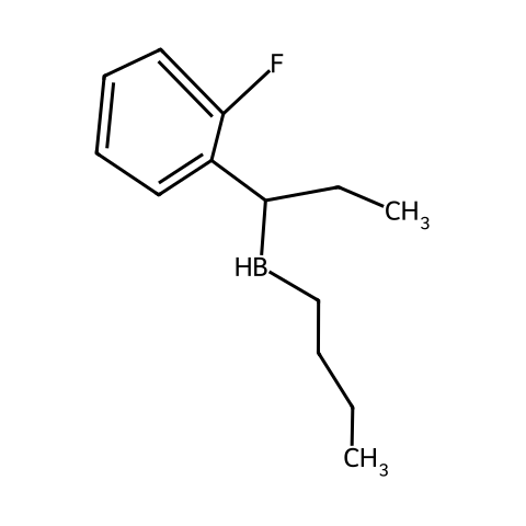 CCCCBC(CC)c1ccccc1F